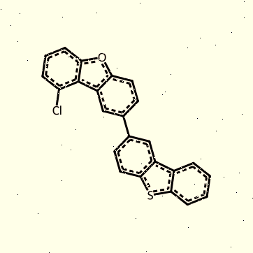 Clc1cccc2oc3ccc(-c4ccc5sc6ccccc6c5c4)cc3c12